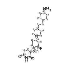 NN1CCC(CCN2CCN(c3ccc(NC4CCC(=O)NC4=O)c(F)c3)CC2)CC1